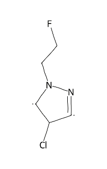 FCCN1[CH]C(Cl)[C]=N1